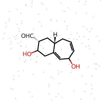 O=C[C@@H]1C[C@@H]2CC=CC(O)C=C2CC1O